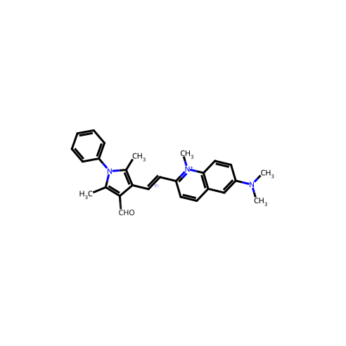 Cc1c(C=O)c(/C=C/c2ccc3cc(N(C)C)ccc3[n+]2C)c(C)n1-c1ccccc1